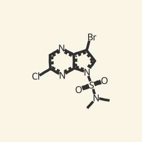 CN(C)S(=O)(=O)n1cc(Br)c2ncc(Cl)nc21